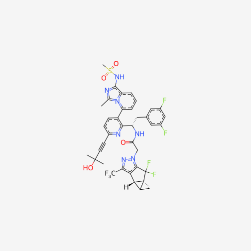 Cc1nc(NS(C)(=O)=O)c2cccc(-c3ccc(C#CC(C)(C)O)nc3[C@H](Cc3cc(F)cc(F)c3)NC(=O)Cn3nc(C(F)(F)F)c4c3C(F)(F)[C@@]35CC3[C@H]45)n12